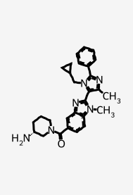 Cc1nc(-c2ccccc2)n(CC2CC2)c1-c1nc2cc(C(=O)N3CCC[C@@H](N)C3)ccc2n1C